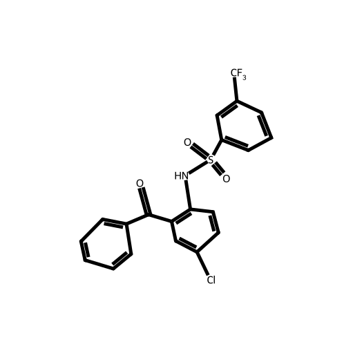 O=C(c1ccccc1)c1cc(Cl)ccc1NS(=O)(=O)c1cccc(C(F)(F)F)c1